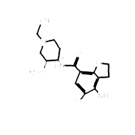 CO[C@H]1CN(CC#N)CC[C@H]1NC(=O)c1cc(Cl)c(N)c2c1OCC2